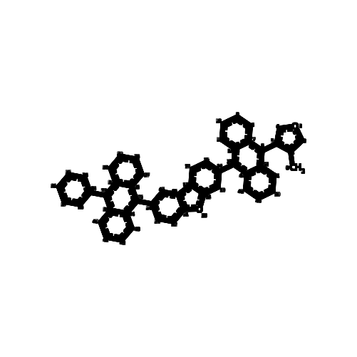 Cc1cocc1-c1c2ccccc2c(-c2ccc3c(c2)oc2ccc(-c4c5ccccc5c(-c5ccccc5)c5ccccc45)cc23)c2ccccc12